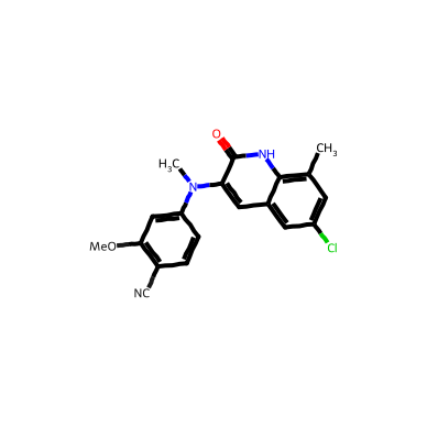 COc1cc(N(C)c2cc3cc(Cl)cc(C)c3[nH]c2=O)ccc1C#N